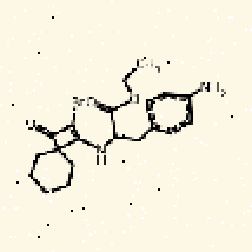 CCOC(=O)C(Cc1ccc(N)cc1)NC1=C(Br)C(=O)C12CCCCC2